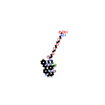 O=C(O)NCCOCCOCCOCCOCCC(=O)N1CCN(c2ccc(-n3c(=O)ccc4cnc5ccc(-c6cnc7ccccc7c6)cc5c43)cc2C(F)(F)F)CC1